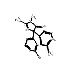 Cc1cc(C2(c3cccc(Br)c3)N=C(N)N(C)C2=O)ccn1